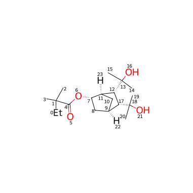 CCC(C)(C)C(=O)O[C@H]1C[C@H]2C[C@@H]1[C@H](C(C)(C)O)[C@@H]2C(C)(C)O